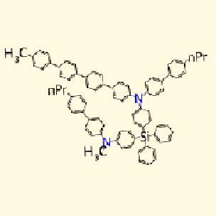 CCCc1ccc(-c2ccc(N(C)c3ccc([Si](c4ccccc4)(c4ccccc4)c4ccc(N(c5ccc(-c6ccc(CCC)cc6)cc5)c5ccc(-c6ccc(-c7ccc(-c8ccc(C)cc8)cc7)cc6)cc5)cc4)cc3)cc2)cc1